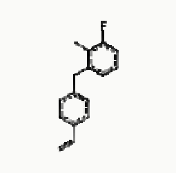 C=Cc1ccc(Cc2cccc(F)c2C)cc1